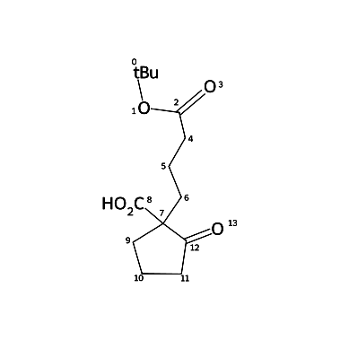 CC(C)(C)OC(=O)CCCC1(C(=O)O)CCCC1=O